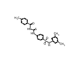 Cc1ccc(C(=O)NC(=S)Nc2ccc(S(=O)(=O)Nc3cc(C)cc(C)c3)cc2)cc1